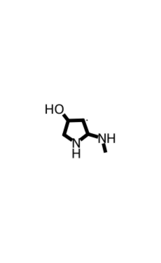 CNC1[CH]C(O)CN1